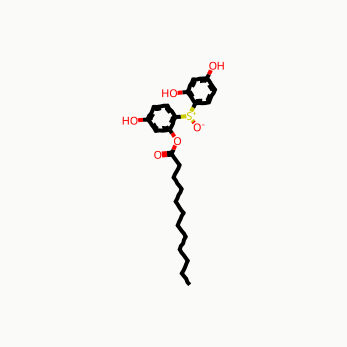 CCCCCCCCCCCC(=O)Oc1cc(O)ccc1[S+]([O-])c1ccc(O)cc1O